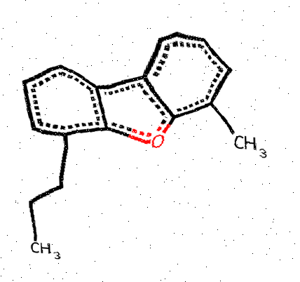 CCCc1cccc2c1oc1c(C)cccc12